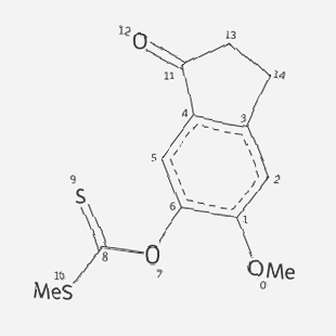 COc1cc2c(cc1OC(=S)SC)C(=O)CC2